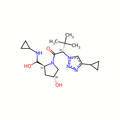 CC(C)(C)[C@@H](C(=O)N1C[C@H](O)C[C@H]1C(O)NC1CC1)n1cc(C2CC2)nn1